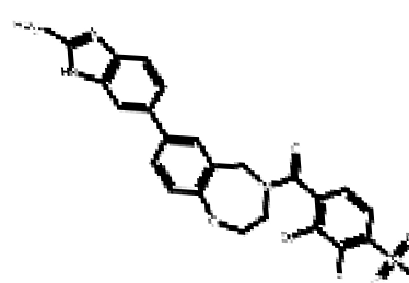 CCc1c(C(=O)N2CCOc3ccc(-c4ccc5nc(C(=O)O)[nH]c5c4)cc3C2)ccc(S(C)(=O)=O)c1F